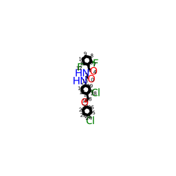 O=C(NC(=O)c1c(F)cccc1F)Nc1ccc(COc2ccc(Cl)cc2)c(Cl)c1